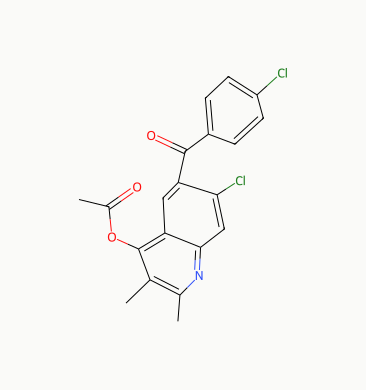 CC(=O)Oc1c(C)c(C)nc2cc(Cl)c(C(=O)c3ccc(Cl)cc3)cc12